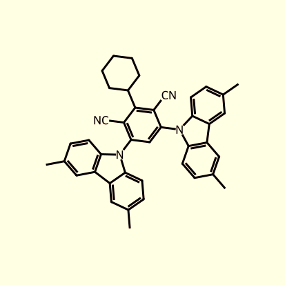 Cc1ccc2c(c1)c1cc(C)ccc1n2-c1cc(-n2c3ccc(C)cc3c3cc(C)ccc32)c(C#N)c(C2CCCCC2)c1C#N